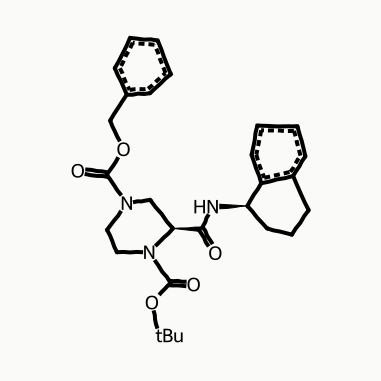 CC(C)(C)OC(=O)N1CCN(C(=O)OCc2ccccc2)C[C@H]1C(=O)N[C@@H]1CCCc2ccccc21